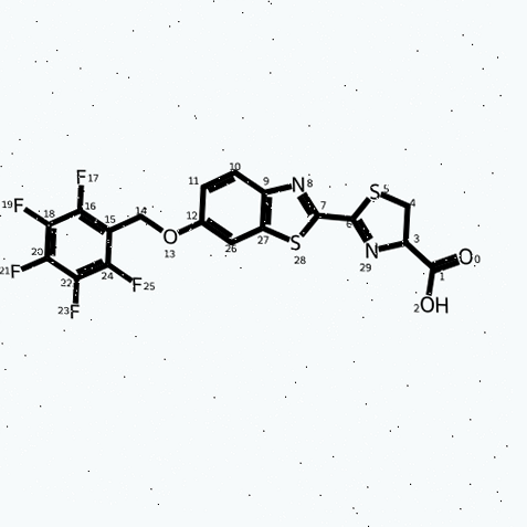 O=C(O)C1CSC(c2nc3ccc(OCc4c(F)c(F)c(F)c(F)c4F)cc3s2)=N1